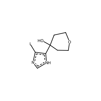 OC1(c2[nH]cnc2I)CCOCC1